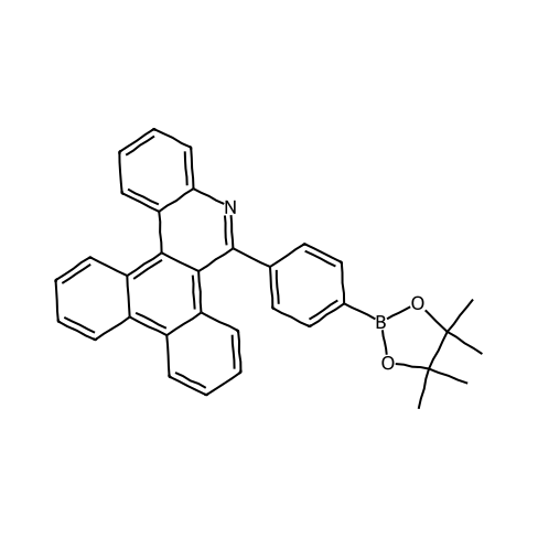 CC1(C)OB(c2ccc(-c3nc4ccccc4c4c5ccccc5c5ccccc5c34)cc2)OC1(C)C